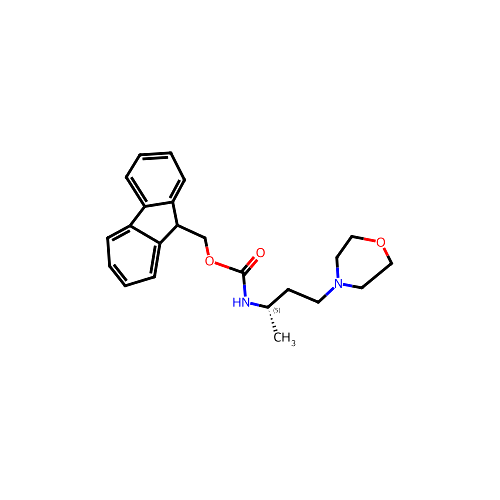 C[C@@H](CCN1CCOCC1)NC(=O)OCC1c2ccccc2-c2ccccc21